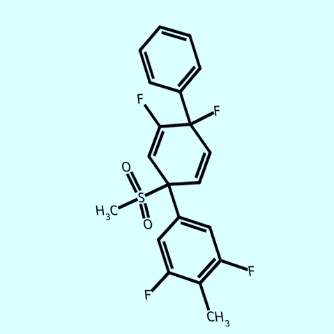 Cc1c(F)cc(C2(S(C)(=O)=O)C=CC(F)(c3ccccc3)C(F)=C2)cc1F